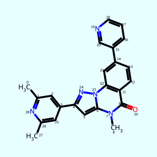 Cc1cc(-c2cc3n(C)c(=O)c4ccc(-c5cccnc5)cc4n3n2)cc(C)n1